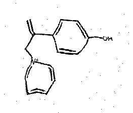 C=C(C[n+]1ccccc1)c1ccc(O)cc1